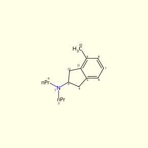 CCCN(CCC)C1Cc2cccc(C)c2C1